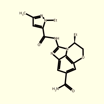 CC[C@H]1COc2cc(C(N)=O)cc3nc(NC(=O)c4cc(C)nn4CC)n1c23